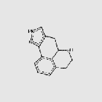 c1cc2c3c(c1)-c1n[nH]cc1CC3NCC2